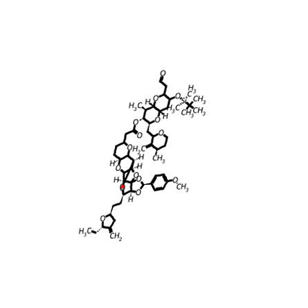 C=C1C(C[C@@H]2O[C@H]3CC(O[Si](C)(C)C(C)(C)C)C(CC=O)O[C@H]3[C@H](C)[C@H]2OC(=O)CC2CC[C@@H]3OC4[C@@H]5OC67O[C@@H](c8ccc(OC)cc8)O[C@H]6[C@](CC[C@H]6CC(=C)[C@H](CC)O6)(O[C@H]5C3O2)O[C@@H]47)OCC[C@H]1C